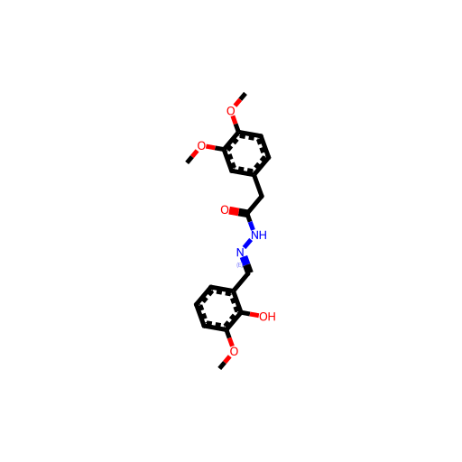 COc1ccc(CC(=O)N/N=C/c2cccc(OC)c2O)cc1OC